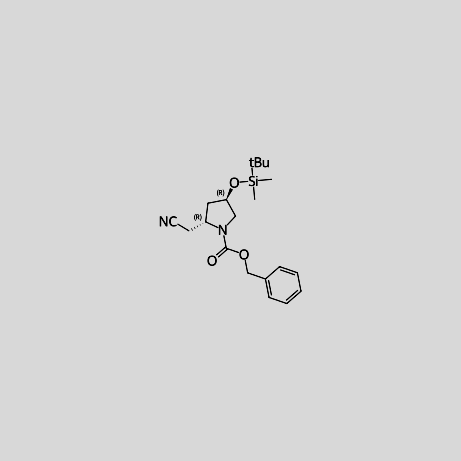 CC(C)(C)[Si](C)(C)O[C@@H]1C[C@@H](CC#N)N(C(=O)OCc2ccccc2)C1